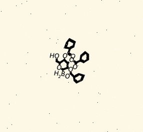 B[C@H]1OC(CO)[C@@H](OC(=O)c2ccccc2)C(OC(=O)c2ccccc2)C1OC(=O)c1ccccc1